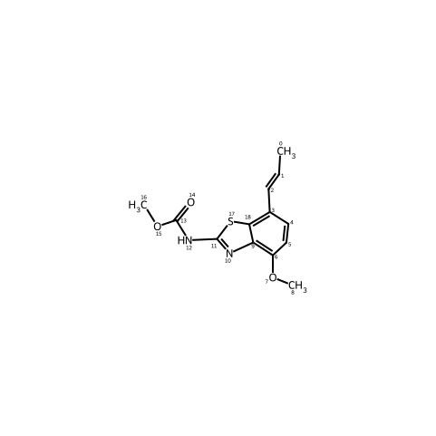 CC=Cc1ccc(OC)c2nc(NC(=O)OC)sc12